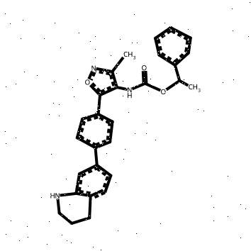 Cc1noc(-c2ccc(-c3ccc4c(c3)NCCC4)cc2)c1NC(=O)OC(C)c1ccccc1